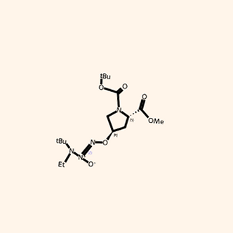 CCN(/[N+]([O-])=N/O[C@@H]1C[C@@H](C(=O)OC)N(C(=O)OC(C)(C)C)C1)C(C)(C)C